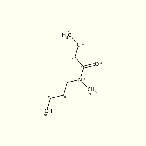 COCC(=O)N(C)CCCO